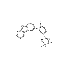 CC1(C)OB(c2ccc(F)c(-c3ccc4oc5ccccc5c4c3)c2)OC1(C)C